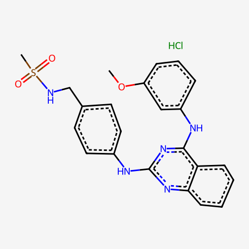 COc1cccc(Nc2nc(Nc3ccc(CNS(C)(=O)=O)cc3)nc3ccccc23)c1.Cl